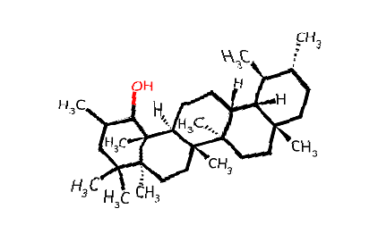 CC1CC(C)(C)[C@]2(C)CC[C@]3(C)[C@H](CC[C@@H]4[C@@H]5[C@@H](C)[C@H](C)CC[C@]5(C)CC[C@]43C)[C@@]2(C)C1O